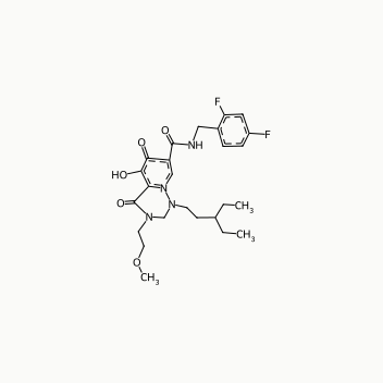 CCC(CC)CCN1CN(CCOC)C(=O)c2c(O)c(=O)c(C(=O)NCc3ccc(F)cc3F)cn21